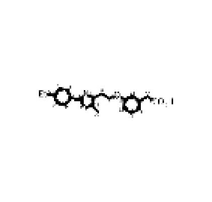 CCc1ccc(-c2nc(CCOc3cccc(CC(=O)O)c3)c(C)o2)cc1